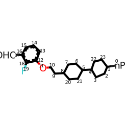 CCCC1CCC(C2CCC(CCOc3cccc(C=O)c3F)CC2)CC1